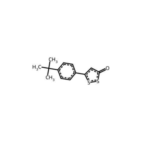 CC(C)(C)c1ccc(-c2cc(=O)ss2)cc1